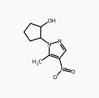 Cc1c([N+](=O)[O-])cnn1C1CCCC1O